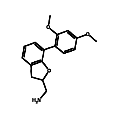 COc1ccc(-c2cccc3c2OC(CN)C3)c(OC)c1